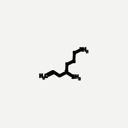 C=CCN([SiH3])SSSN